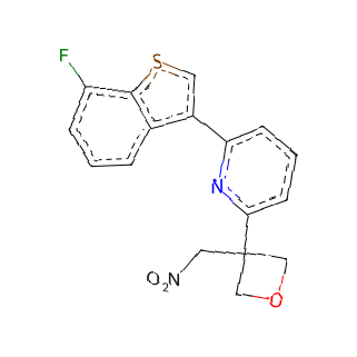 O=[N+]([O-])CC1(c2cccc(-c3csc4c(F)cccc34)n2)COC1